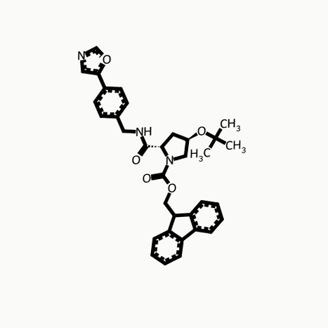 CC(C)(C)O[C@@H]1C[C@@H](C(=O)NCc2ccc(-c3cnco3)cc2)N(C(=O)OCC2c3ccccc3-c3ccccc32)C1